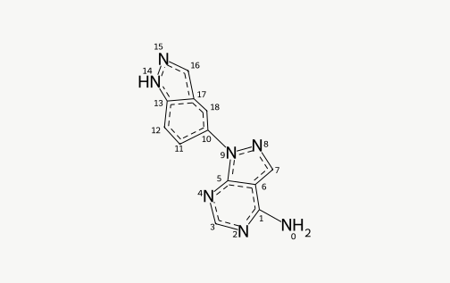 Nc1ncnc2c1cnn2-c1ccc2[nH]ncc2c1